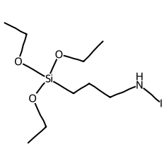 CCO[Si](CCCNI)(OCC)OCC